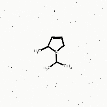 CC(C)N1CC=CC1C